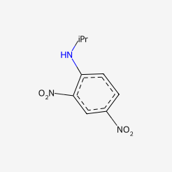 CC(C)Nc1ccc([N+](=O)[O-])cc1[N+](=O)[O-]